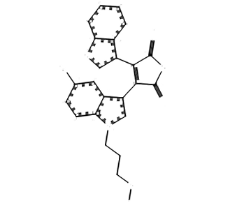 CCNCCCn1cc(C2=C(c3c[nH]c4ccccc34)C(=O)NC2=O)c2cc(Br)ccc21